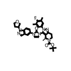 Cc1cc(-n2nc3c(c2-n2ccn(-c4ccc5c(cnn5C5CCOC5)c4)c2=O)[C@H](C)N(C(=O)OC(C)(C)C)CC3)cc(C)c1F